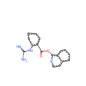 N=C(N)Nc1ccccc1C(=O)Oc1nccc2ccccc12